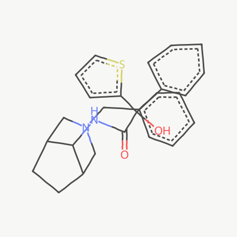 O=C(NC1C2CCC1CN(Cc1ccccc1)C2)C(O)(c1ccccc1)c1cccs1